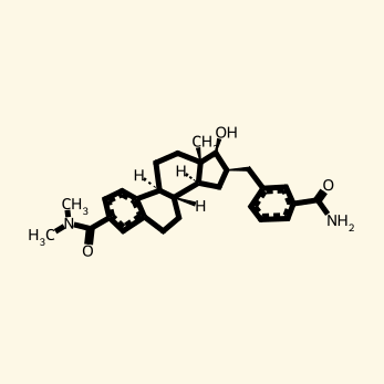 CN(C)C(=O)c1ccc2c(c1)CC[C@@H]1[C@@H]2CC[C@]2(C)[C@@H](O)[C@@H](Cc3cccc(C(N)=O)c3)C[C@@H]12